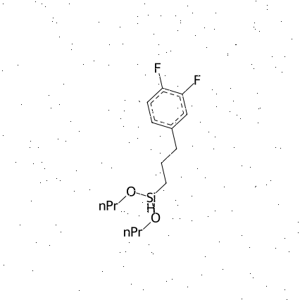 CCCO[SiH](CCCc1ccc(F)c(F)c1)OCCC